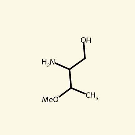 COC(C)C(N)CO